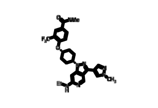 CCNc1cc2c(cn1)c(-c1cnn(C)c1)nn2[C@H]1CC[C@@H](Oc2ccc(C(=O)NC)cc2C(F)(F)F)CC1